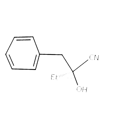 CC[C@@](O)(C#N)Cc1ccccc1